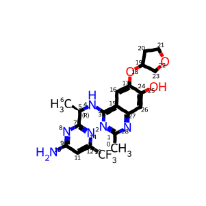 Cc1nc(N[C@H](C)c2nc(N)cc(C(F)(F)F)n2)c2cc(OC3CCOC3)c(O)cc2n1